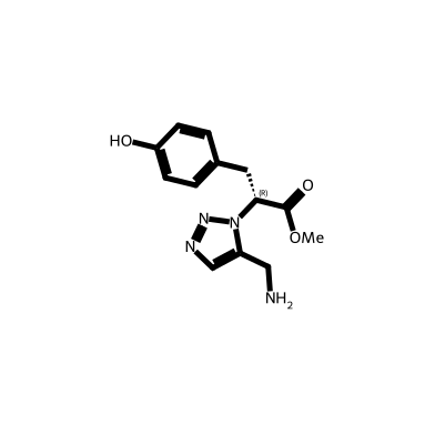 COC(=O)[C@@H](Cc1ccc(O)cc1)n1nncc1CN